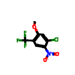 COc1cc(Cl)c([N+](=O)[O-])cc1C(F)(F)F